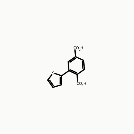 O=C(O)c1ccc(C(=O)O)c(-c2cccs2)c1